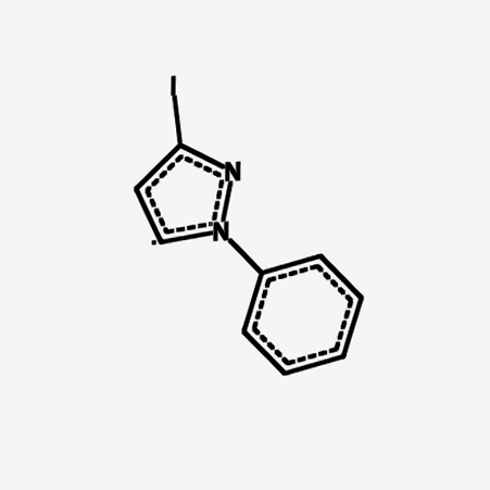 Ic1c[c]n(-c2ccccc2)n1